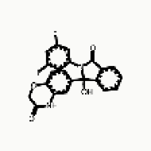 O=C1COc2ccc(C3(O)c4ccccc4C(=O)N3c3cc(F)cc(I)c3)cc2N1